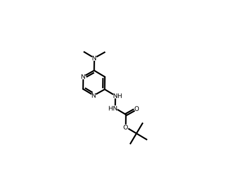 CN(C)c1cc(NNC(=O)OC(C)(C)C)ncn1